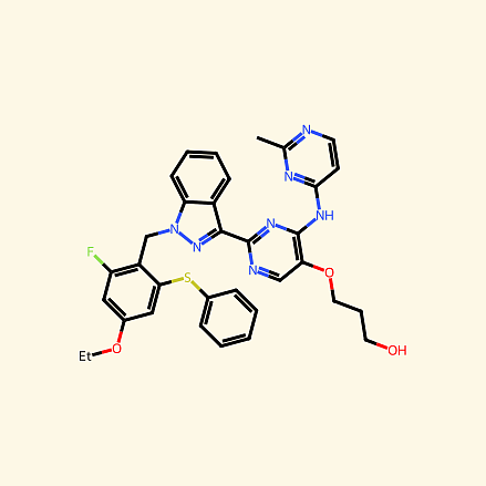 CCOc1cc(F)c(Cn2nc(-c3ncc(OCCCO)c(Nc4ccnc(C)n4)n3)c3ccccc32)c(Sc2ccccc2)c1